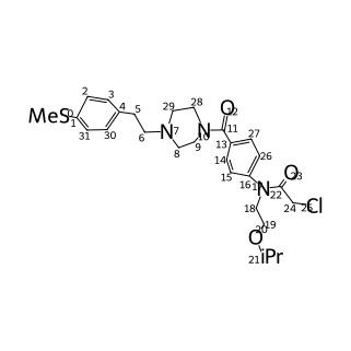 CSc1ccc(CCN2CCN(C(=O)c3ccc(N(CCOC(C)C)C(=O)CCl)cc3)CC2)cc1